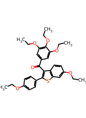 CCOc1ccc(-c2sc3cc(OCC)ccc3c2C(=O)c2cc(OCC)c(OCC)c(OCC)c2)cc1